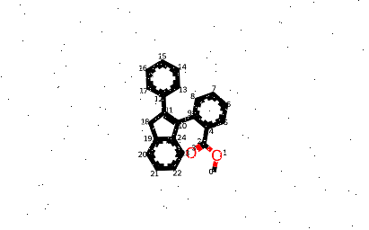 COC(=O)c1ccccc1C1=C(c2ccccc2)Cc2ccccc21